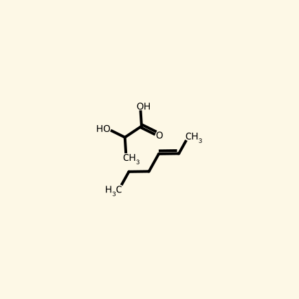 CC(O)C(=O)O.CC=CCCC